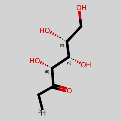 [2H]CC(=O)[C@H](O)[C@@H](O)[C@H](O)CO